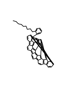 CCCCCCCCCc1ccccc1C1N(C)CC23C4=c5ccc6c7ccc8c9ccc%10c%11ccc%12c%13c(c%14c%15c2c5c6c2c7c8c5c9c%10c(c%13%11)c%14c5c%152)C13C=%12C=C4